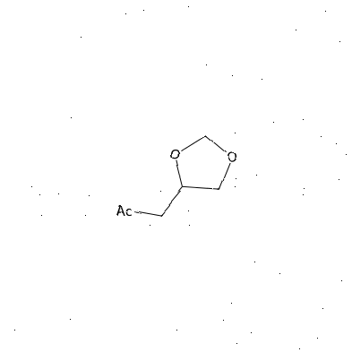 CC(=O)CC1COCO1